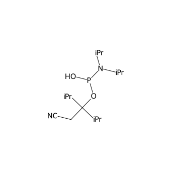 CC(C)N(C(C)C)P(O)OC(CC#N)(C(C)C)C(C)C